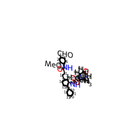 COc1cc(C=O)ccc1NC(=O)CCc1ccc(-c2ccccc2)c(NC(=O)O[C@@H]2C[C@@H]3[C@H]4O[C@H]4[C@H](C2)[N+]3(C)C)c1